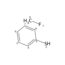 CF.Sc1ccccc1